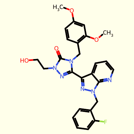 COc1ccc(Cn2c(-c3nn(Cc4ccccc4F)c4ncccc34)nn(CCO)c2=O)c(OC)c1